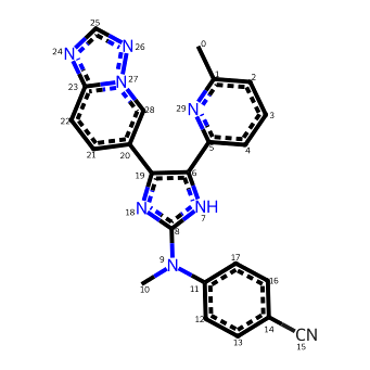 Cc1cccc(-c2[nH]c(N(C)c3ccc(C#N)cc3)nc2-c2ccc3ncnn3c2)n1